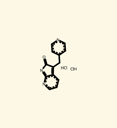 Cl.Cl.O=C1N=c2ncccc2=C1Cc1ccncc1